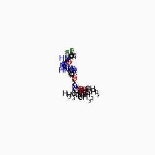 CCCN(CCCOc1ccc2c(Nc3cnn(CC(=O)Nc4cccc(F)c4F)c3)ncnc2c1)CCOP(=O)(OC(C)(C)C)OC(C)(C)C